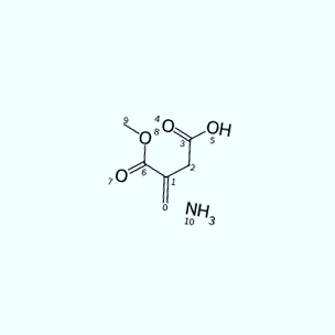 C=C(CC(=O)O)C(=O)OC.N